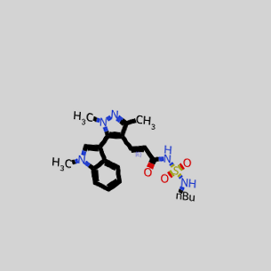 CCCCNS(=O)(=O)NC(=O)/C=C/c1c(C)nn(C)c1-c1cn(C)c2ccccc12